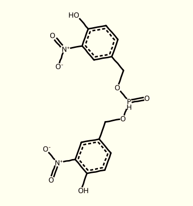 O=[N+]([O-])c1cc(CO[PH](=O)OCc2ccc(O)c([N+](=O)[O-])c2)ccc1O